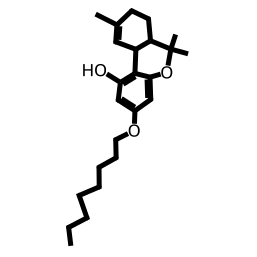 CCCCCCCCOc1cc(O)c2c(c1)OC(C)(C)C1CCC(C)=CC21